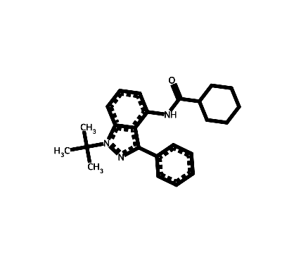 CC(C)(C)n1nc(-c2ccccc2)c2c(NC(=O)C3CCCCC3)cccc21